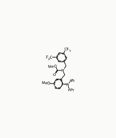 CCCN(CCC)c1ccc(OC)cc1CN(Cc1cc(C(F)(F)F)cc(C(F)(F)F)c1)C(=O)OC